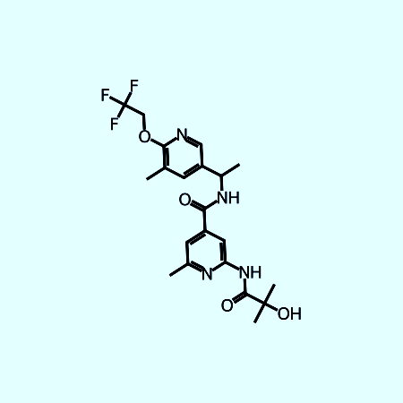 Cc1cc(C(=O)NC(C)c2cnc(OCC(F)(F)F)c(C)c2)cc(NC(=O)C(C)(C)O)n1